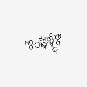 C[C@]12CC[C@@](CN(CC(=O)c3c(Cl)cncc3Cl)C(=O)c3cnn(C4CCC(C(=O)O)CC4)c3C(F)(F)F)(CC1)C2